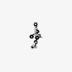 Cc1nn(-c2ccc(OCc3ccccc3)nc2OCc2ccccc2)c2ccc(C3=CCN(C(=O)OC(C)(C)C)CC3)cc12